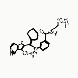 Cc1c(C(Nc2cccc(C(=O)NCCC(=O)O)c2)C2CCCCC2)sc2ccncc12